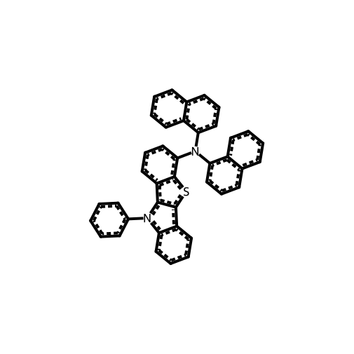 c1ccc(-n2c3ccccc3c3sc4c(N(c5cccc6ccccc56)c5cccc6ccccc56)cccc4c32)cc1